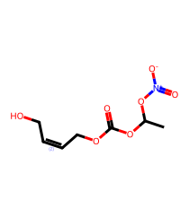 CC(OC(=O)OC/C=C\CO)O[N+](=O)[O-]